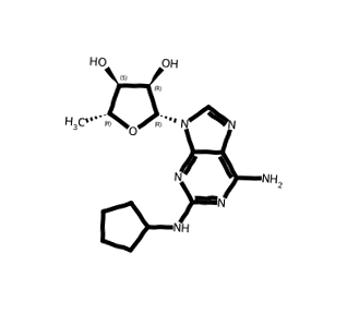 C[C@H]1O[C@@H](n2cnc3c(N)nc(NC4CCCC4)nc32)[C@H](O)[C@@H]1O